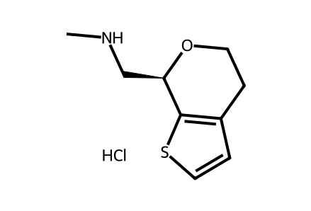 CNC[C@H]1OCCc2ccsc21.Cl